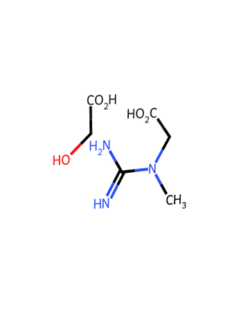 CN(CC(=O)O)C(=N)N.O=C(O)CO